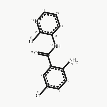 Nc1ccc(Cl)cc1C(=O)Nc1cccnc1Cl